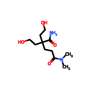 CN(C)C(=O)CCC(CCO)(CCO)C(N)=O